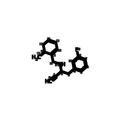 C#CC(Cc1cccc(F)c1)NCC1=CC=CCC1C